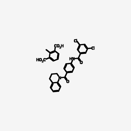 Cc1c(C(=O)O)cccc1C(=O)O.O=C(Nc1ccc(C(=O)N2CCCc3ccccc32)cc1)c1cc(Cl)cc(Cl)c1